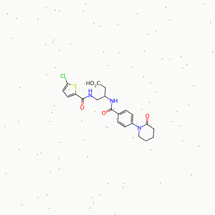 O=C(O)CC(CNC(=O)c1ccc(Cl)s1)NC(=O)c1ccc(N2CCCCC2=O)cc1